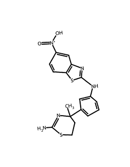 CC1(c2cccc(Nc3nc4cc([N+](=O)O)ccc4s3)c2)CCSC(N)=N1